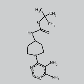 CC(C)(C)OC(=O)NC1CCN(c2ncnc(N)c2N)CC1